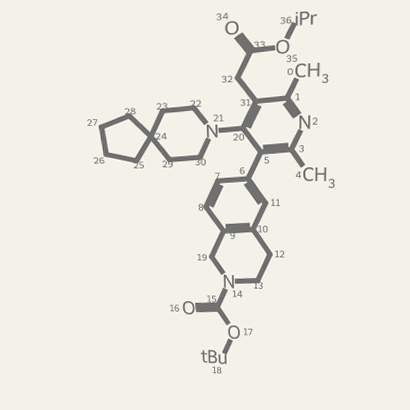 Cc1nc(C)c(-c2ccc3c(c2)CCN(C(=O)OC(C)(C)C)C3)c(N2CCC3(CCCC3)CC2)c1CC(=O)OC(C)C